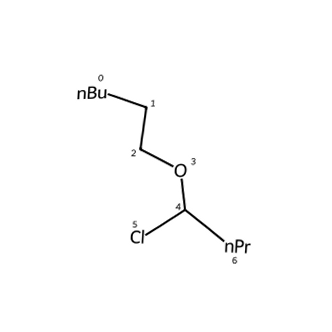 CCCCCCOC(Cl)CCC